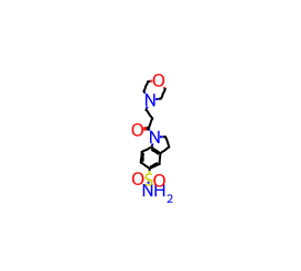 NS(=O)(=O)c1ccc2c(c1)CCN2C(=O)CCN1CCOCC1